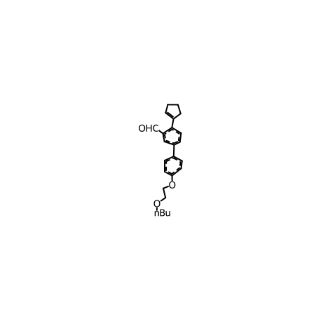 CCCCOCCOc1ccc(-c2ccc(C3=CCCC3)c(C=O)c2)cc1